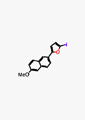 COc1ccc2cc(-c3ccc(I)o3)ccc2c1